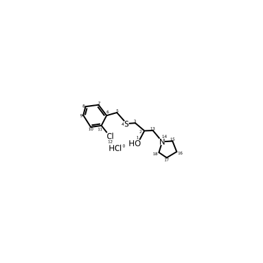 Cl.OC(CSCc1ccccc1Cl)CN1CCCC1